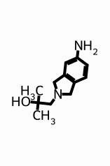 CC(C)(O)CN1Cc2ccc(N)cc2C1